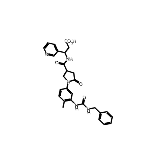 Cc1ccc(N2CC(C(=O)NC(CC(=O)O)c3cccnc3)CC2=O)cc1NC(=O)NCc1ccccc1